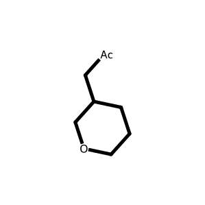 CC(=O)CC1CCCOC1